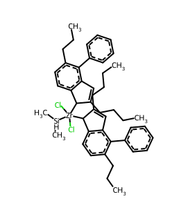 CCCCC1=Cc2c(ccc(CCC)c2-c2ccccc2)[CH]1[Zr]([Cl])([Cl])([CH]1C(CCCC)=Cc2c1ccc(CCC)c2-c1ccccc1)[SiH](C)C